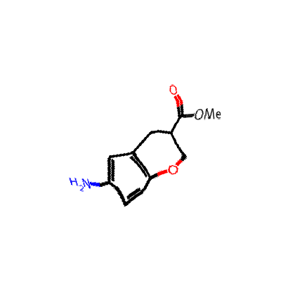 COC(=O)C1COc2ccc(N)cc2C1